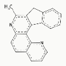 Cc1nc2ccc3cccnc3c2c2c1Cc1ccccc1-2